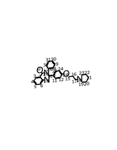 O=c1c2ccccc2nc(-c2ccc(OCCCN3CCCCC3)cc2)n1-c1ccccc1